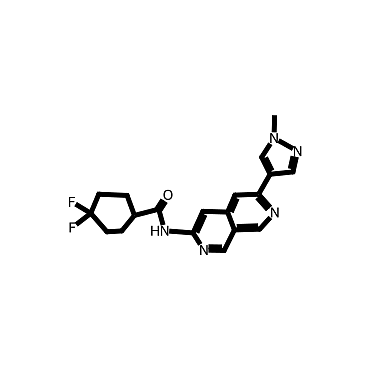 Cn1cc(-c2cc3cc(NC(=O)C4CCC(F)(F)CC4)ncc3cn2)cn1